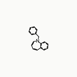 C1=Cc2ccccc2N(Cc2ccccc2)C=C1